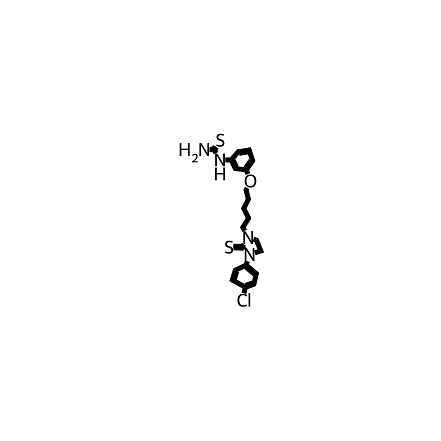 NC(=S)Nc1cccc(OCCCCCN2CCN(c3ccc(Cl)cc3)C2=S)c1